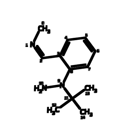 C/N=C\c1ccccc1N(N)C(C)(C)C